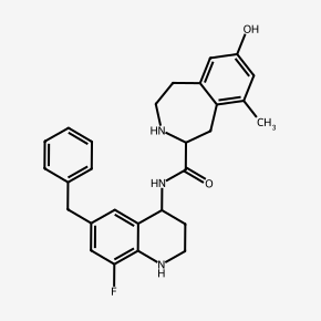 Cc1cc(O)cc2c1CC(C(=O)NC1CCNc3c(F)cc(Cc4ccccc4)cc31)NCC2